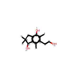 Cc1c(O)c2c(c(C)c1CCO)C(O)C(C)(C)C2